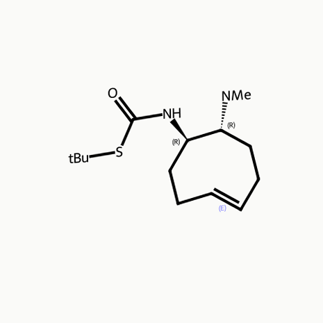 CN[C@@H]1CC/C=C/CC[C@H]1NC(=O)SC(C)(C)C